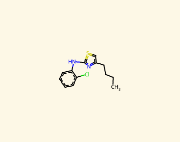 CCCCc1csc(Nc2ccccc2Cl)n1